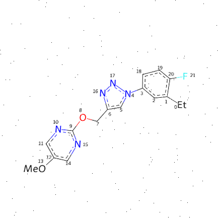 CCc1cc(-n2cc(COc3ncc(OC)cn3)nn2)ccc1F